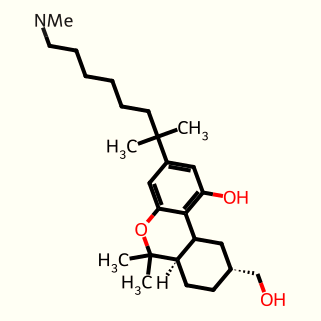 CNCCCCCCC(C)(C)c1cc(O)c2c(c1)OC(C)(C)[C@@H]1CC[C@@H](CO)CC21